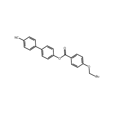 CCC(C)COc1ccc(C(=O)Oc2ccc(-c3ccc(C#N)cc3)cc2)cc1